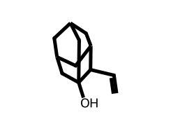 C=CC1C2CC3CC(C2)CC1(O)C3